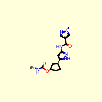 CC(C)NC(=O)O[C@@H]1CC[C@H](c2cc(NC(=O)c3cnn(C)c3)n[nH]2)C1